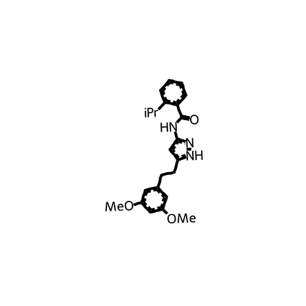 COc1cc(CCc2cc(NC(=O)c3ccccc3C(C)C)n[nH]2)cc(OC)c1